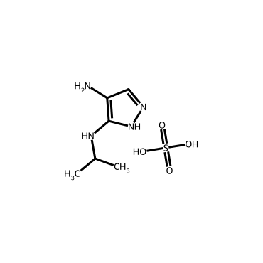 CC(C)Nc1[nH]ncc1N.O=S(=O)(O)O